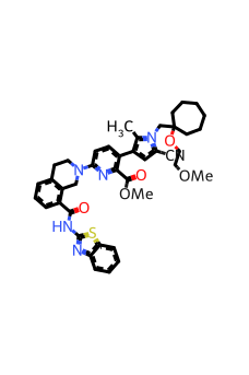 COCCOC1(Cn2c(C#N)cc(-c3ccc(N4CCc5cccc(C(=O)Nc6nc7ccccc7s6)c5C4)nc3C(=O)OC)c2C)CCCCCC1